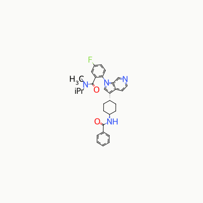 CC(C)N(C)C(=O)c1cc(F)ccc1-n1cc([C@H]2CC[C@H](NC(=O)c3ccccc3)CC2)c2ccncc21